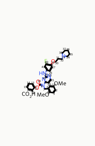 COc1ccc(OC)c(CN(C(=O)Oc2ccccc2C(=O)O)c2ccnc(Nc3ccc(OCCCN4CCCCC4)c(F)c3)n2)c1